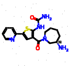 NC(=O)Nc1sc(-c2ccccn2)cc1C(=O)N1CCCC[C@H](N)C1